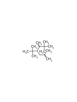 C=C(C)CC(C(=C)C(C)(C)C)C(C)(C)C